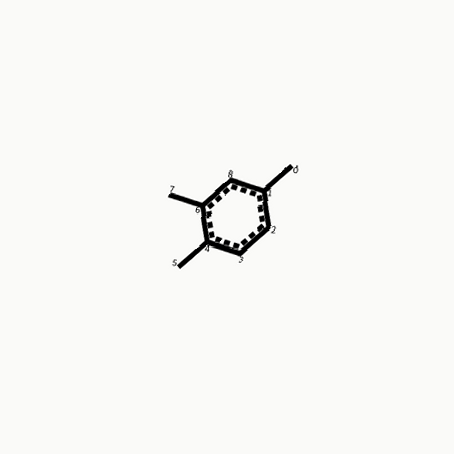 [CH2]c1ccc(C)c(C)c1